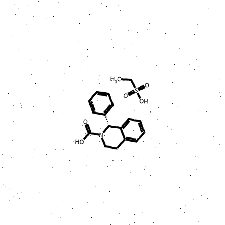 CCS(=O)(=O)O.O=C(O)N1CCc2ccccc2[C@H]1c1ccccc1